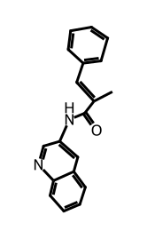 CC(=Cc1ccccc1)C(=O)Nc1cnc2ccccc2c1